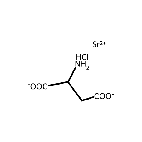 Cl.NC(CC(=O)[O-])C(=O)[O-].[Sr+2]